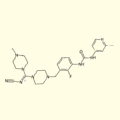 Cc1cc(NC(=O)Nc2cccc(CN3CCN(/C(=N/C#N)N4CCN(C)CC4)CC3)c2F)ccn1